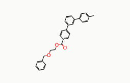 Cc1ccc(-c2cccc(-c3ccc(C(=O)OCCOCc4ccccc4)cc3)c2)cc1